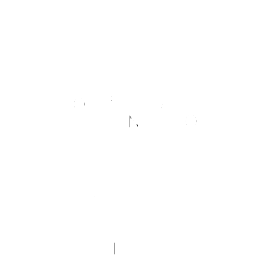 O=C1c2ccccc2C(=O)N1[C@H]1CC[C@@H](I)CC1